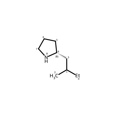 CCC(C)C[C@H]1CCCN1